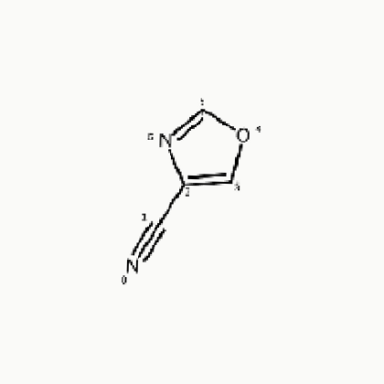 N#Cc1[c]o[c]n1